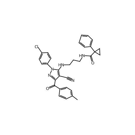 Cc1ccc(C(=O)c2nn(-c3ccc(Cl)cc3)c(NCCCNC(=O)C3(c4ccccc4)CC3)c2C#N)cc1